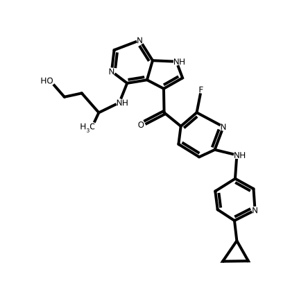 CC(CCO)Nc1ncnc2[nH]cc(C(=O)c3ccc(Nc4ccc(C5CC5)nc4)nc3F)c12